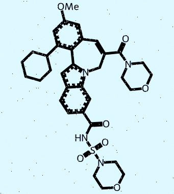 COc1cc2c(c(C3CCCCC3)c1)-c1cc3ccc(C(=O)NS(=O)(=O)N4CCOCC4)cc3n1CC(C(=O)N1CCOCC1)=C2